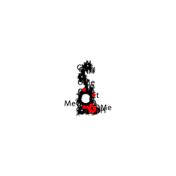 CC[C@H]1OC(=O)[C@H](C)[C@@H](O[C@H]2C[C@@](C)(OC)[C@@H](O)[C@H](C)O2)[C@H](C)[C@@H](O[C@@H]2O[C@H](C)C[C@H](N(C)C(=O)N3CCOCC3)[C@H]2O)C(C)(OC)C[C@@H](C)C(=O)[C@H](C)[C@H]2N(CCCOc3cc(C(=O)Nc4c(Cl)cncc4Cl)ccc3OC)C(=O)O[C@]12C